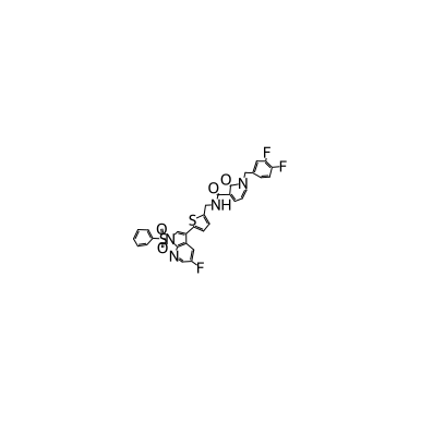 O=C(NCc1ccc(-c2cn(S(=O)(=O)c3ccccc3)c3ncc(F)cc23)s1)c1cccn(Cc2ccc(F)c(F)c2)c1=O